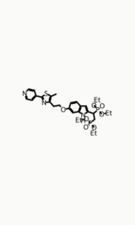 CCOP(=O)(CC(c1cc2ccc(OCCc3nc(-c4ccncc4)sc3C)cc2[nH]1)P(=O)(OCC)OCC)OCC